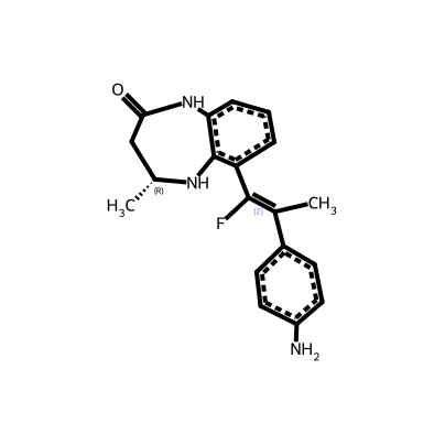 C/C(=C(/F)c1cccc2c1N[C@H](C)CC(=O)N2)c1ccc(N)cc1